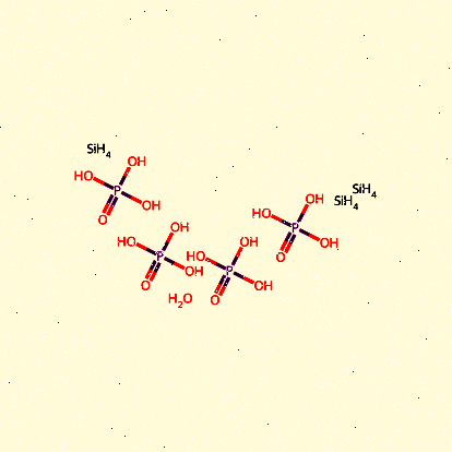 O.O=P(O)(O)O.O=P(O)(O)O.O=P(O)(O)O.O=P(O)(O)O.[SiH4].[SiH4].[SiH4]